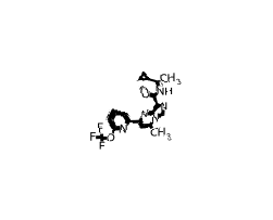 Cc1cc(-c2cccc(OC(F)(F)F)n2)nc2c(C(=O)N[C@@H](C)C3CC3)ncn12